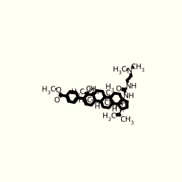 C=C(C)[C@@H]1CC[C@]2(NC(=O)NCCN(C)C)CC[C@]3(C)[C@H](CC[C@@H]4[C@@]5(C)CC=C(c6ccc(C(=O)OC)cc6)C(C)(C)[C@@H]5CC[C@]43C)[C@@H]12